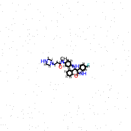 CN(C(=O)CCN1CCNCC1)c1ccc(NC(=C2C(=O)Nc3cc(F)ccc32)c2ccccc2)cc1